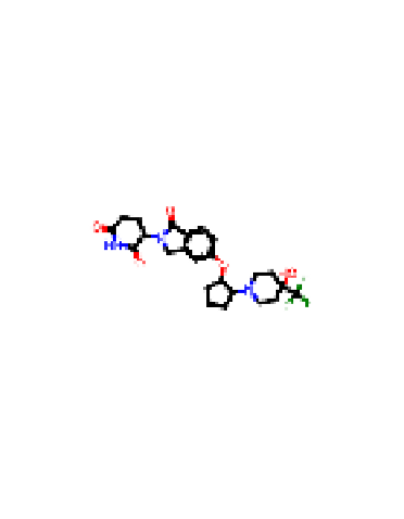 O=C1CCC(N2Cc3cc(OC4CCCC4N4CCC(O)(C(F)(F)F)CC4)ccc3C2=O)C(=O)N1